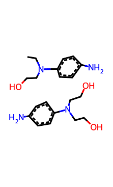 CCN(CCO)c1ccc(N)cc1.Nc1ccc(N(CCO)CCO)cc1